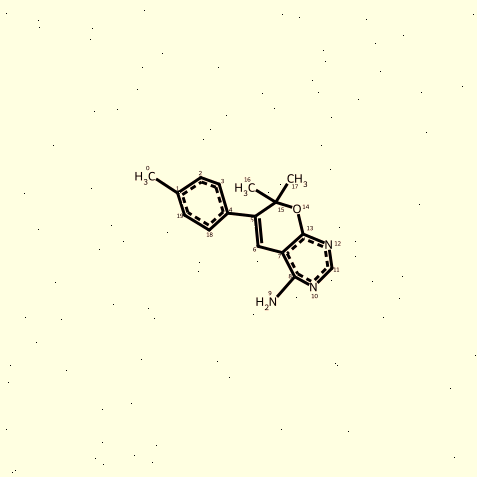 Cc1ccc(C2=Cc3c(N)ncnc3OC2(C)C)cc1